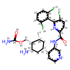 C[C@@H]1C[C@H](c2ccncc2NC(=O)c2ccc(F)c(-c3c(F)cccc3F)n2)C[C@H](N)[C@@H]1COC(N)=O